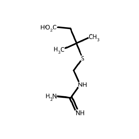 CC(C)(CC(=O)O)SCNC(=N)N